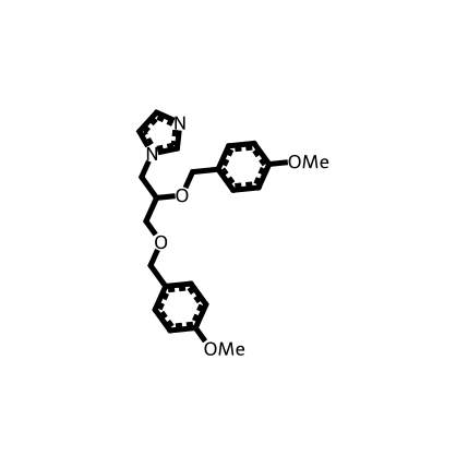 COc1ccc(COCC(Cn2ccnc2)OCc2ccc(OC)cc2)cc1